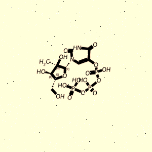 C[C@@]1(O)[C@H](O)[C@@H](CO)O[C@H]1n1cc(OP(=O)(O)OP(=O)(O)OP(=O)(O)O)c(=O)[nH]c1=O